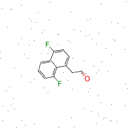 O=CCc1ccc(F)c2cccc(F)c12